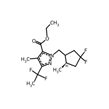 CCOC(=O)c1c(C)c(C(C)(F)F)nn1CC1CC(F)(F)C[C@H]1C